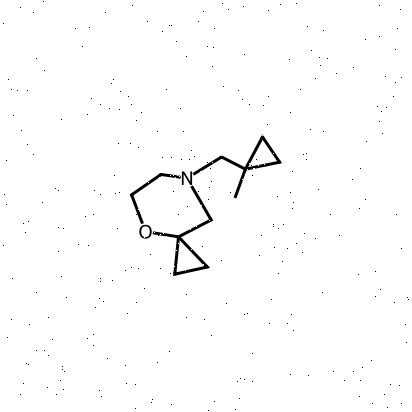 CC1(CN2CCOC3(CC3)C2)CC1